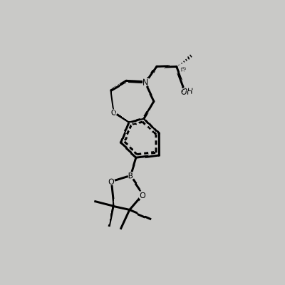 C[C@H](O)CN1CCOc2cc(B3OC(C)(C)C(C)(C)O3)ccc2C1